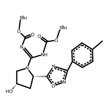 Cc1ccc(-c2noc([C@@H]3C[C@H](O)CN3/C(=N/C(=O)OC(C)(C)C)NC(=O)OC(C)(C)C)n2)cc1